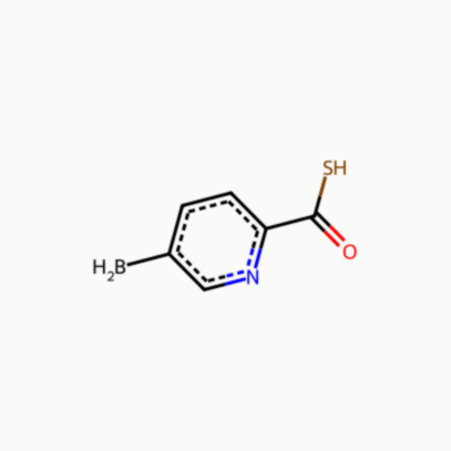 Bc1ccc(C(=O)S)nc1